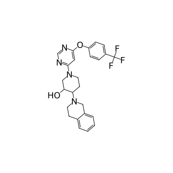 OC1CN(c2cc(Oc3ccc(C(F)(F)F)cc3)ncn2)CCC1N1CCc2ccccc2C1